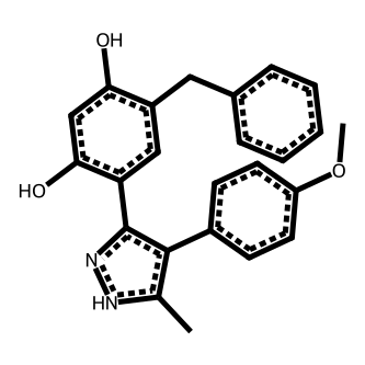 COc1ccc(-c2c(-c3cc(Cc4ccccc4)c(O)cc3O)n[nH]c2C)cc1